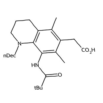 CCCCCCCCCCN1CCCc2c(C)c(CC(=O)O)c(C)c(NC(=O)C(C)(C)C)c21